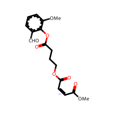 COC(=O)/C=C\C(=O)OCCCC(=O)Oc1c(C=O)cccc1OC